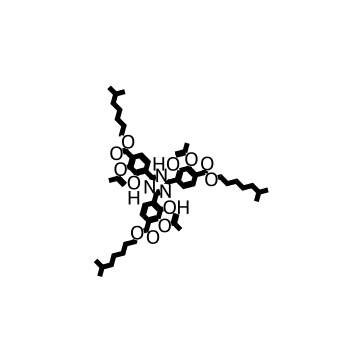 C=C(C)Oc1c(C(=O)OCCCCCC(C)C)ccc(-c2nc(-c3ccc(C(=O)OCCCCCC(C)C)c(OC(=C)C)c3O)nc(-c3ccc(C(=O)OCCCCCC(C)C)c(OC(=C)C)c3O)n2)c1O